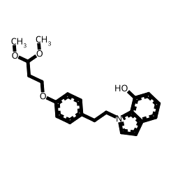 COC(CCOc1ccc(CCn2ccc3cccc(O)c32)cc1)OC